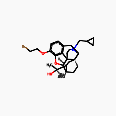 CO[C@@]12CC[C@@]3(C[C@@H]1[C@](C)(O)C(C)(C)C)C1Cc4ccc(OCCBr)c5c4[C@@]3(CCN1CC1CC1)C2O5